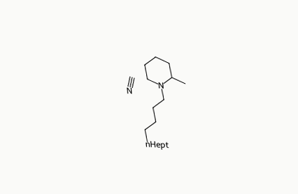 C#N.CCCCCCCCCCCN1CCCCC1C